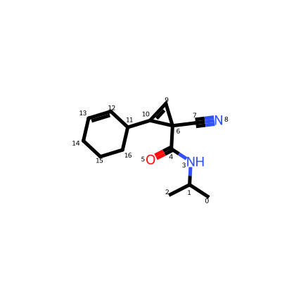 CC(C)NC(=O)C1(C#N)C=C1C1C=CCCC1